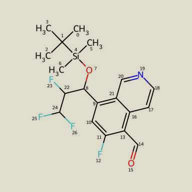 CC(C)(C)[Si](C)(C)OC(c1cc(F)c(C=O)c2ccncc12)C(F)C(F)F